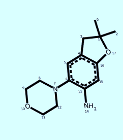 CC1(C)Cc2cc(N3CCOCC3)c(N)cc2O1